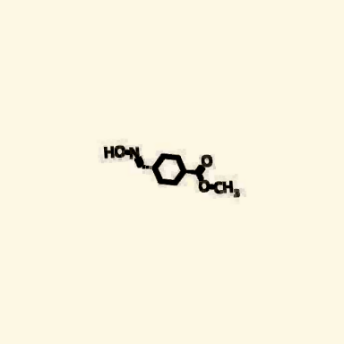 COC(=O)[C@H]1CC[C@H](/C=N/O)CC1